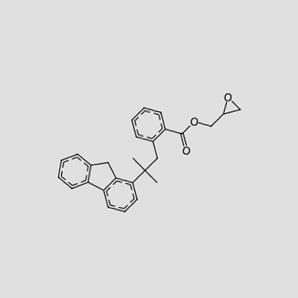 CC(C)(Cc1ccccc1C(=O)OCC1CO1)c1cccc2c1Cc1ccccc1-2